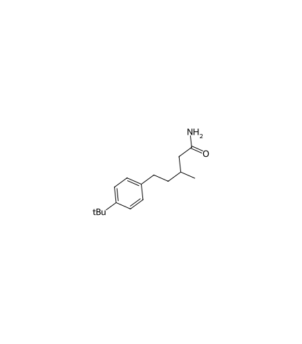 CC(CCc1ccc(C(C)(C)C)cc1)CC(N)=O